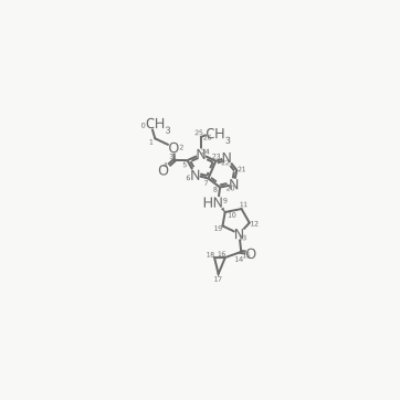 CCOC(=O)c1nc2c(N[C@H]3CCN(C(=O)C4CC4)C3)ncnc2n1CC